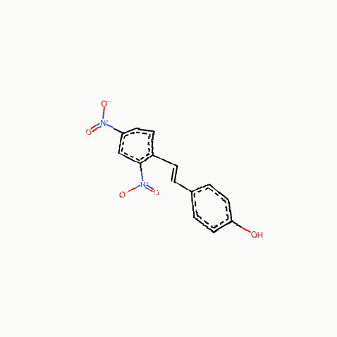 O=[N+]([O-])c1ccc(/C=C/c2ccc(O)cc2)c([N+](=O)[O-])c1